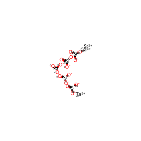 O=[Si]([O-])[O-].O=[Si]([O-])[O-].O=[Si]([O-])[O-].O=[Si]([O-])[O-].O=[Si]([O-])[O-].[Ga+3].[Sr+2].[Ta+5]